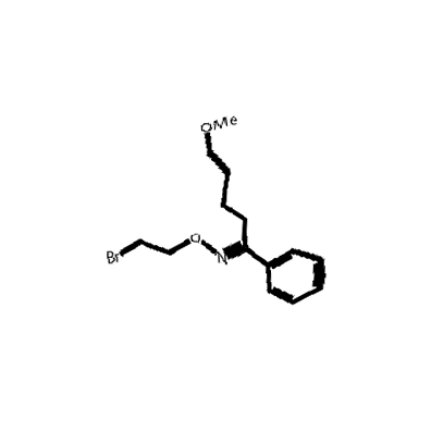 COCCCCC(=NOCCBr)c1ccccc1